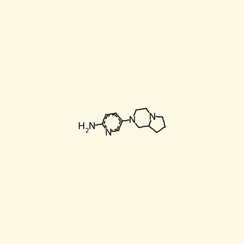 Nc1ccc(N2CCN3CCCC3C2)cn1